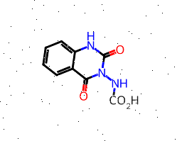 O=C(O)Nn1c(=O)[nH]c2ccccc2c1=O